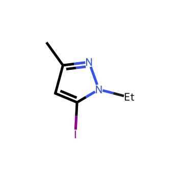 CCn1nc(C)cc1I